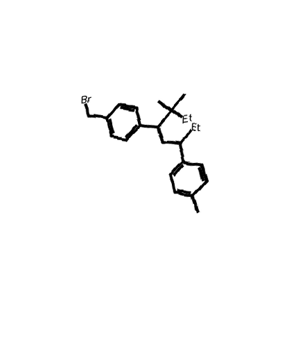 CCC(CC(c1ccc(CBr)cc1)C(C)(C)CC)c1ccc(C)cc1